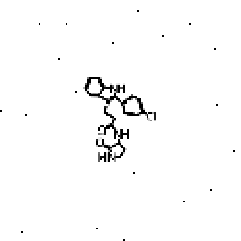 O=C(CCc1c(-c2ccc(Cl)cc2)[nH]c2ccccc12)NC1CCNC1=O